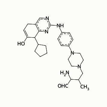 CC(CN1CCN(c2ccc(Nc3ncc4c(n3)C(C3CCCC3)C(O)=CC4)cc2)CC1)C(N)C=O